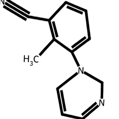 Cc1c(C#N)cccc1N1C=CC=NC1